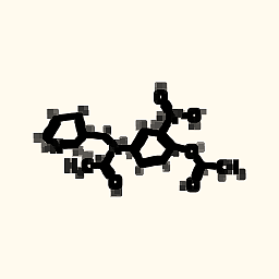 CC(=O)Oc1ccc(N(Cc2cccnc2)C(C)=O)cc1[N+](=O)[O-]